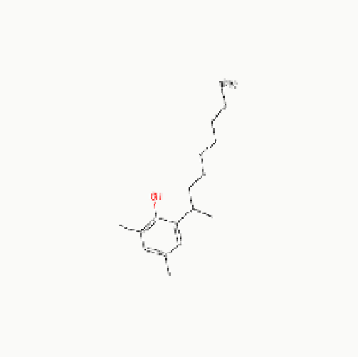 CCCCCCCCCCCCCCCCC(C)c1cc(C)cc(C)c1O